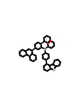 c1ccc(-c2ccc(-c3cc4ccccc4c4ccccc34)cc2N(c2ccccc2)c2ccc(-c3cccc4oc5ccccc5c34)cc2)cc1